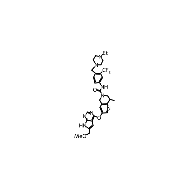 CCN1CCN(Cc2ccc(NC(=O)N3Cc4cc(Oc5ncnc6[nH]c(COC)cc56)cnc4C(C)C3)cc2C(F)(F)F)CC1